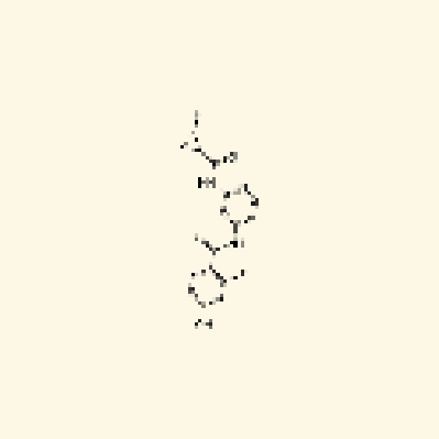 O=C(Nc1ccnc(NC(=O)[C@H]2C[C@H]2F)c1)c1ccc(O)cc1F